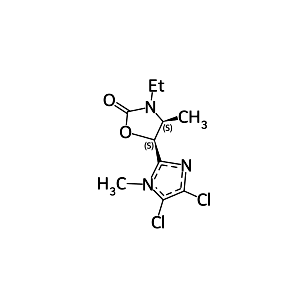 CCN1C(=O)O[C@H](c2nc(Cl)c(Cl)n2C)[C@@H]1C